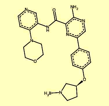 BN1CC[C@H](Oc2ccc(-c3cnc(N)c(C(=O)Nc4cnccc4N4CCOCC4)n3)cc2)C1